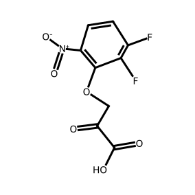 O=C(O)C(=O)COc1c([N+](=O)[O-])ccc(F)c1F